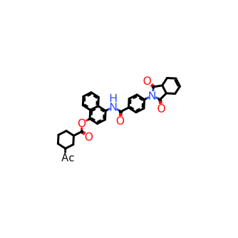 CC(=O)C1CCCC(C(=O)Oc2ccc(NC(=O)c3ccc(N4C(=O)C5CC=CCC5C4=O)cc3)c3ccccc23)C1